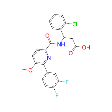 COc1ccc(C(=O)NC(CC(=O)O)c2ccccc2Cl)nc1-c1ccc(F)c(F)c1